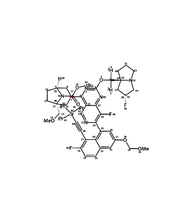 [2H]C([2H])(Oc1nc(N2C[C@@H]3CC[C@](COC)(C2)N3C(=O)OC(C)(C)C)c2cnc(-c3cc(OCOC)cc4ccc(F)c(C#C[Si](C(C)C)(C(C)C)C(C)C)c34)c(F)c2n1)[C@@]12CCCN1C[C@H](F)C2